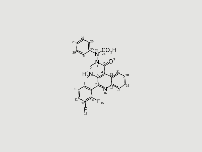 CN(C(=O)c1c(N)c(-c2cccc(F)c2F)nc2ccccc12)N(C(=O)O)c1ccccc1